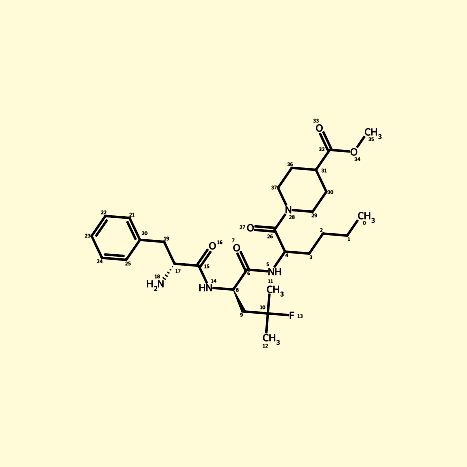 CCCCC(NC(=O)[C@@H](CC(C)(C)F)NC(=O)[C@H](N)Cc1ccccc1)C(=O)N1CCC(C(=O)OC)CC1